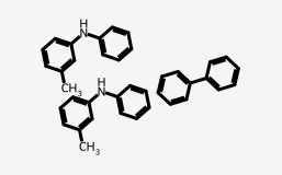 Cc1cccc(Nc2ccccc2)c1.Cc1cccc(Nc2ccccc2)c1.c1ccc(-c2ccccc2)cc1